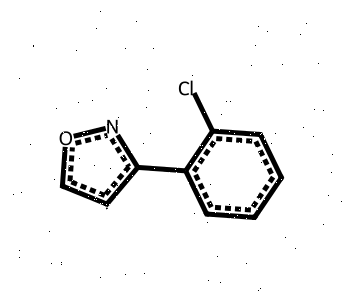 Clc1ccccc1-c1[c]con1